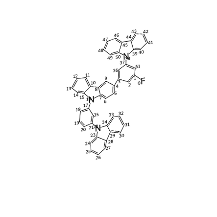 Fc1cc(-c2ccc3c(c2)c2ccccc2n3-c2cccc(-n3c4ccccc4c4ccccc43)c2)cc(-n2c3ccccc3c3ccccc32)c1